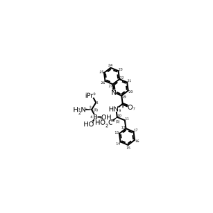 CC(C)C[C@H](N)B(O)O.O=C(N[C@@H](Cc1ccccc1)C(=O)O)c1ccc2ccccc2n1